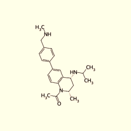 CNCc1ccc(-c2ccc3c(c2)[C@H](NC(C)C)C[C@H](C)N3C(C)=O)cc1